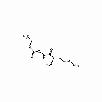 CCOC(=O)ONC(=O)C(N)CCSC